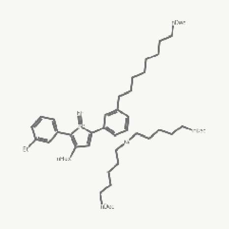 CCCCCCCCCCCCCCCCCCc1cccc(C2=CC(CCCCCC)=C(c3cccc(CC)c3)[N+]2=[N-])c1.CCCCCCCCCCCCCC[CH2][Ni][CH2]CCCCCCCCCCCCCC